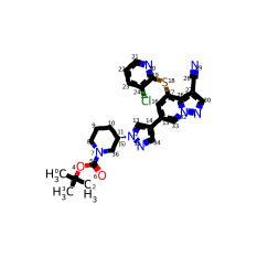 CC(C)(C)OC(=O)N1CCC[C@H](n2cc(-c3cc(Sc4ncccc4Cl)c4c(C#N)cnn4c3)cn2)C1